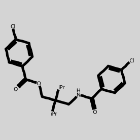 CC(C)C(CNC(=O)c1ccc(Cl)cc1)(COC(=O)c1ccc(Cl)cc1)C(C)C